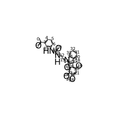 CC(=O)c1cccc(NC(=O)NCCN2C(=O)C3(COc4cc5c(cc43)OCO5)c3ccccc32)c1